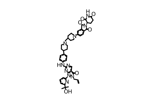 C=CCn1c(=O)c2cnc(Nc3ccc(C4CCN(CC5CCN(c6ccc7c(c6)C(=O)N(C6CCC(=O)NC6=O)C7=O)CC5)CC4)cc3)nc2n1-c1cccc(C(C)(C)O)n1